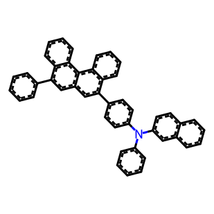 c1ccc(-c2cc3cc(-c4ccc(N(c5ccccc5)c5ccc6ccccc6c5)cc4)c4ccccc4c3c3ccccc23)cc1